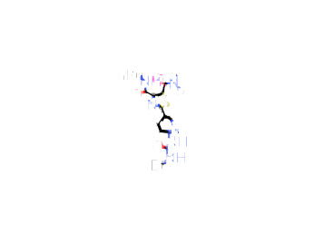 CCCCNC(=O)c1nc(-c2ccc(NC(=O)NCC)nc2)sc1C(=O)N(C)C